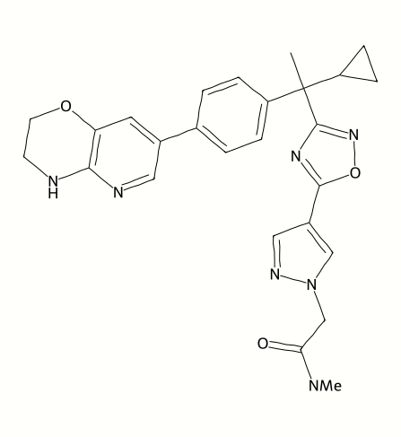 CNC(=O)Cn1cc(-c2nc(C(C)(c3ccc(-c4cnc5c(c4)OCCN5)cc3)C3CC3)no2)cn1